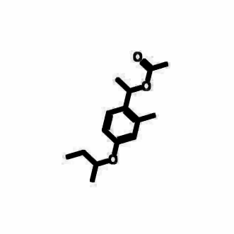 CCC(C)Oc1ccc(C(C)OC(C)=O)c(C)c1